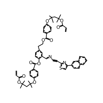 C=CC(=O)OC(C)(C)CC(C)(C)Oc1ccc(C(=O)OCCc2ccc(OC(=O)c3ccc(OC(C)(C)CC(C)(C)OC(=O)C=C)cc3)c(/C=N/C#Cc3nc(-c4ccc5ccccc5c4)cs3)c2)cc1